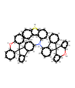 c1ccc2c(c1)Oc1ccccc1C21c2ccccc2-c2cc(N(c3cccc4c3-c3ccccc3C43c4ccccc4Oc4ccccc43)c3cccc4sc5ccccc5c34)ccc21